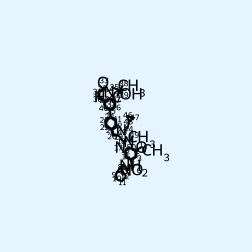 COc1cc(C(=O)N2CC3CCC2C3N)cc2nc(-c3cc4ccc(-c5ccc6c(ccc(=O)n6CC(C)(C)O)c5)cc4n3CC3CC3)n(C)c12